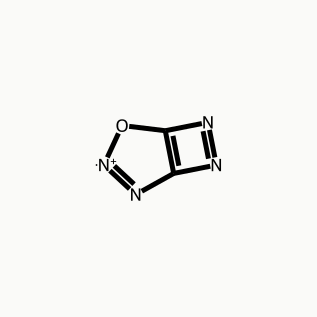 N1=NC2=C1N=[N+]O2